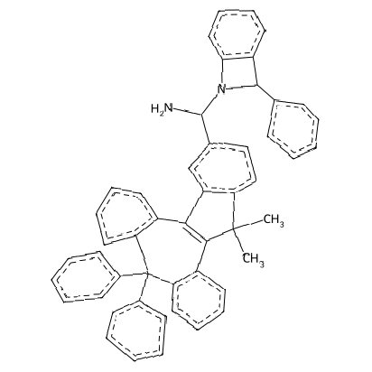 CC1(C)C2=C(c3cc(C(N)N4c5ccccc5C4c4ccccc4)ccc31)c1ccccc1C(c1ccccc1)(c1ccccc1)c1ccccc12